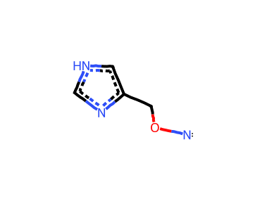 [N]OCc1c[nH]cn1